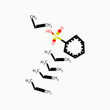 C=CC.C=CC.C=CC.C=CC.C=CC.O=S(=O)(O)c1ccccc1